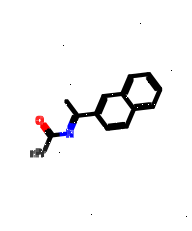 CCCC(=O)/N=C(\C)c1ccc2ccccc2c1